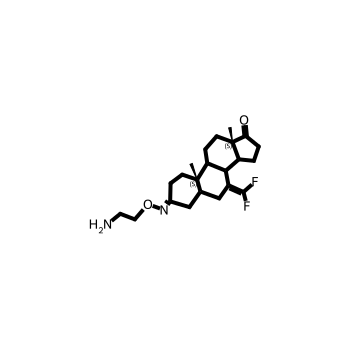 C[C@]12CCC(=NOCCN)CC1CC(=C(F)F)C1C2CC[C@]2(C)C(=O)CCC12